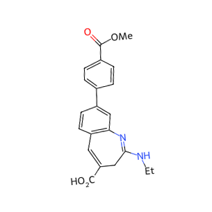 CCNC1=Nc2cc(-c3ccc(C(=O)OC)cc3)ccc2C=C(C(=O)O)C1